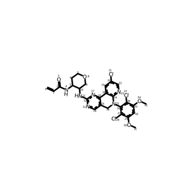 C=CC(=O)NC1CCOCC1Nc1ncc2c(n1)-c1cc(Cl)cnc1N(c1c(Cl)c(OC)cc(OC)c1Cl)C2